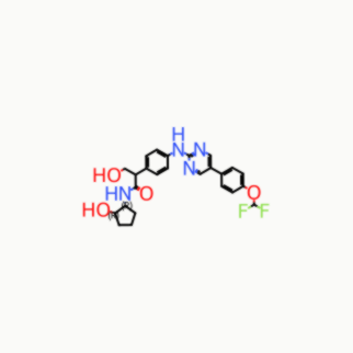 O=C(N[C@@H]1CCC[C@H]1O)C(CO)c1ccc(Nc2ncc(-c3ccc(OC(F)F)cc3)cn2)cc1